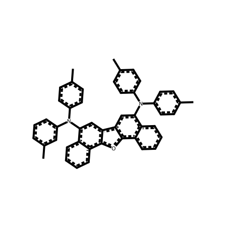 Cc1ccc(N(c2ccc(C)cc2)c2cc3c4cc(N(c5ccc(C)cc5)c5cccc(C)c5)c5ccccc5c4oc3c3ccccc23)cc1